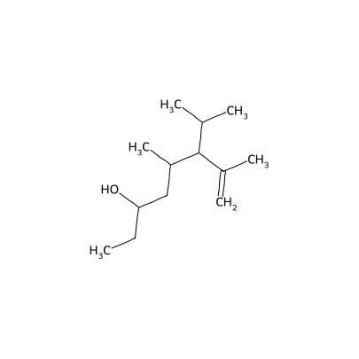 C=C(C)C(C(C)C)C(C)CC(O)CC